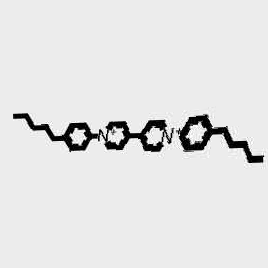 CCCCCc1ccc(-[n+]2ccc(-c3cc[n+](-c4ccc(CCCCC)cc4)cc3)cc2)cc1